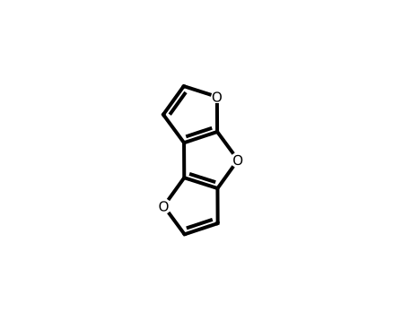 c1cc2c(o1)oc1ccoc12